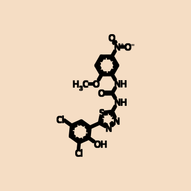 COc1ccc([N+](=O)[O-])cc1NC(=O)Nc1nnc(-c2cc(Cl)cc(Cl)c2O)s1